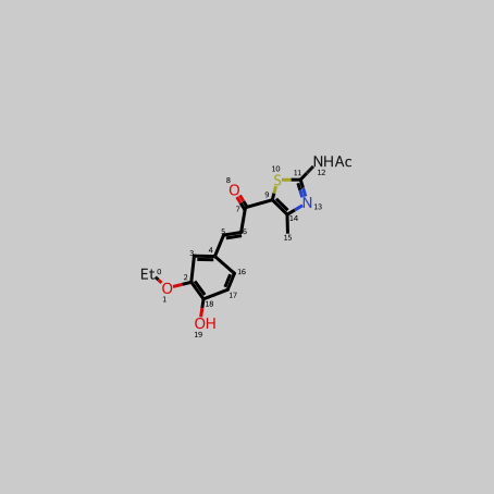 CCOc1cc(C=CC(=O)c2sc(NC(C)=O)nc2C)ccc1O